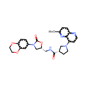 COc1ccc2nccc(N3CC[C@H](C(=O)NC[C@@H]4CN(c5ccc6c(c5)OCCO6)C(=O)O4)C3)c2n1